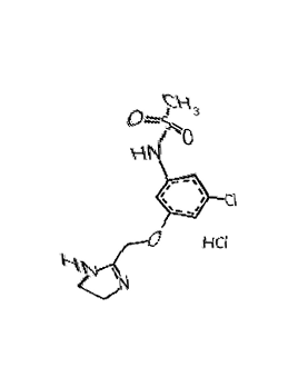 CS(=O)(=O)Nc1cc(Cl)cc(OCC2=NCCN2)c1.Cl